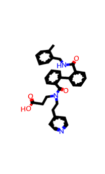 Cc1ccccc1CNC(=O)c1ccccc1-c1ccccc1C(=O)N(CCC(=O)O)CCc1ccncc1